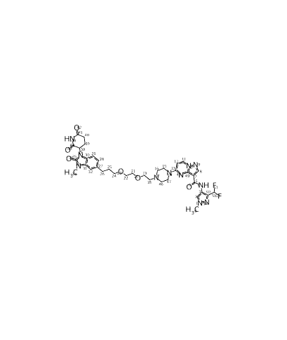 Cn1cc(NC(=O)c2cnn3ccc(N4CCN(CCOCCOCCCc5ccc6c(c5)n(C)c(=O)n6C5CCC(=O)NC5=O)CC4)nc23)c(C(F)F)n1